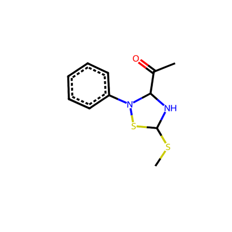 CSC1NC(C(C)=O)N(c2ccccc2)S1